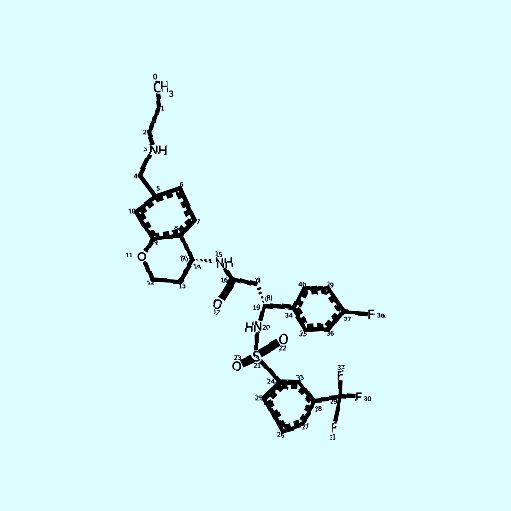 CCCNCc1ccc2c(c1)OCC[C@H]2NC(=O)C[C@@H](NS(=O)(=O)c1cccc(C(F)(F)F)c1)c1ccc(F)cc1